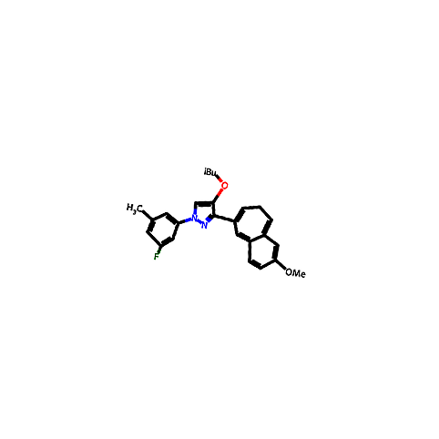 CCC(C)Oc1cn(-c2cc(C)cc(F)c2)nc1C1=CCC=c2cc(OC)ccc2=C1